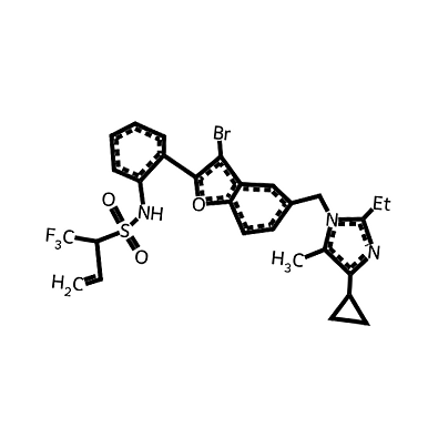 C=CC(C(F)(F)F)S(=O)(=O)Nc1ccccc1-c1oc2ccc(Cn3c(CC)nc(C4CC4)c3C)cc2c1Br